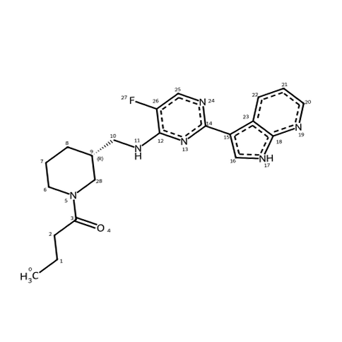 CCCC(=O)N1CCC[C@H](CNc2nc(-c3c[nH]c4ncccc34)ncc2F)C1